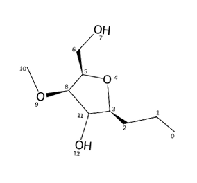 CCC[C@@H]1O[C@H](CO)[C@H](OC)C1O